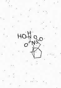 CC1(C)C2CCC13CS(=O)(=O)N(C(=O)NO)C3C2